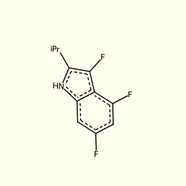 CC(C)c1[nH]c2cc(F)cc(F)c2c1F